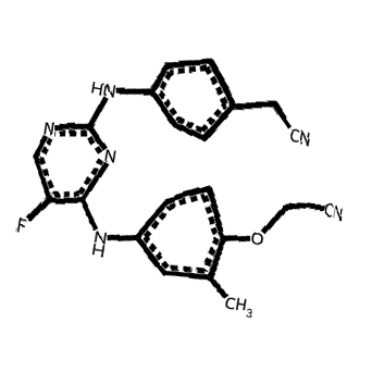 Cc1cc(Nc2nc(Nc3ccc(CC#N)cc3)ncc2F)ccc1OCC#N